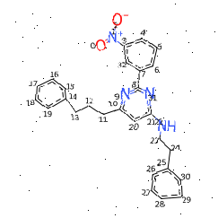 O=[N+]([O-])c1cccc(-c2nc(CCCc3ccccc3)cc(NCCc3ccccc3)n2)c1